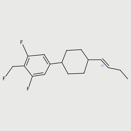 CC/C=C/C1CCC(c2cc(F)c(CF)c(F)c2)CC1